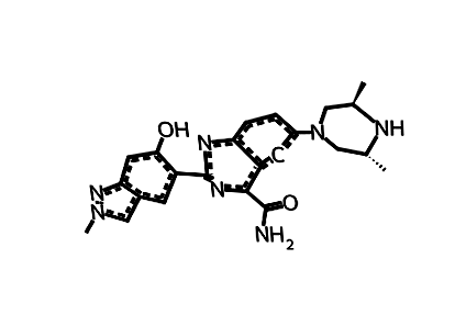 C[C@@H]1CN(c2ccc3nc(-c4cc5cn(C)nc5cc4O)nc(C(N)=O)c3c2)C[C@@H](C)N1